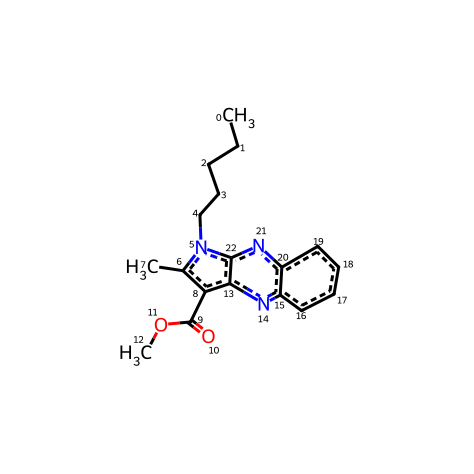 CCCCCn1c(C)c(C(=O)OC)c2nc3ccccc3nc21